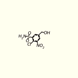 NS(=O)(=O)c1cc(CO)cc([N+](=O)[O-])c1Cl